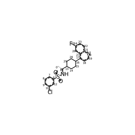 C[C@@H](NS(=O)(=O)c1cccc(Cl)c1)C1CCC(c2ccnc3ccc(F)cc23)CC1